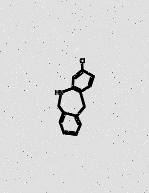 Clc1ccc2c(c1)NCc1ccccc1C2